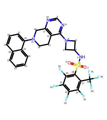 O=S(=O)(NC1CN(c2ncnc3c2CCN(c2cccc4ccccc24)C3)C1)c1c(F)c(F)c(F)c(F)c1C(F)(F)F